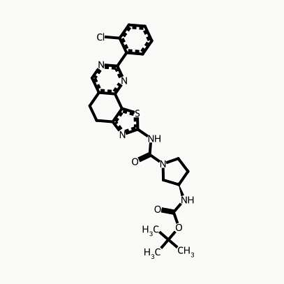 CC(C)(C)OC(=O)N[C@@H]1CCN(C(=O)Nc2nc3c(s2)-c2nc(-c4ccccc4Cl)ncc2CC3)C1